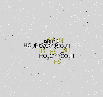 CCC[CH2][Sn].O=C(O)CCCC(CCS)(CCS)C(=O)O.O=C(O)CCCC(CCS)(CCS)C(=O)O.O=C(O)CCCC(CCS)(CCS)C(=O)O